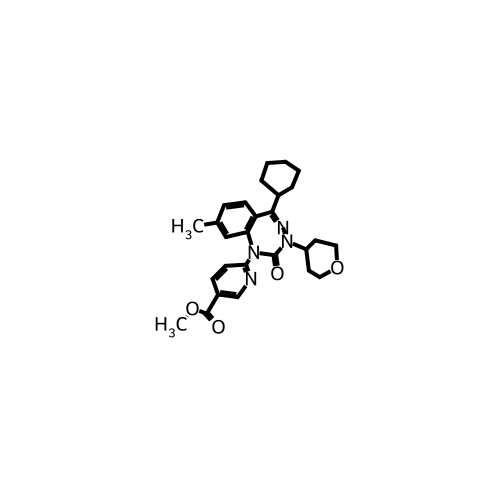 COC(=O)c1ccc(N2C(=O)N(C3CCOCC3)N=C(C3CCCCC3)c3ccc(C)cc32)nc1